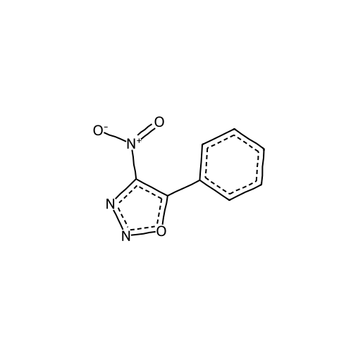 O=[N+]([O-])c1nnoc1-c1ccccc1